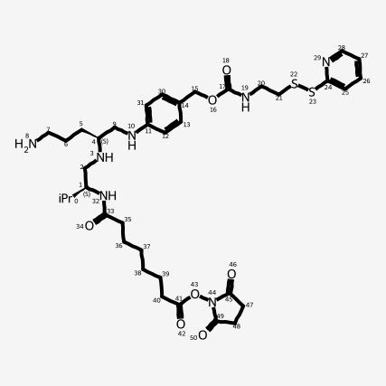 CC(C)[C@@H](CN[C@@H](CCCN)CNc1ccc(COC(=O)NCCSSc2ccccn2)cc1)NC(=O)CCCCCCC(=O)ON1C(=O)CCC1=O